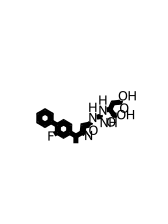 CC(c1ccc(-c2ccccc2)c(F)c1)c1cc(NC(=N)NC(CC(=O)O)C(=O)O)on1